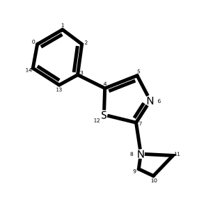 c1ccc(-c2cnc(N3CCC3)s2)cc1